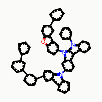 c1ccc(-c2cccc(-c3cccc(-c4ccc5c(c4)c4ccccc4n5-c4ccc5c6c7ccccc7n(-c7ccccc7)c6n(-c6ccc7oc8ccc(-c9ccccc9)cc8c7c6)c5c4)c3)c2)cc1